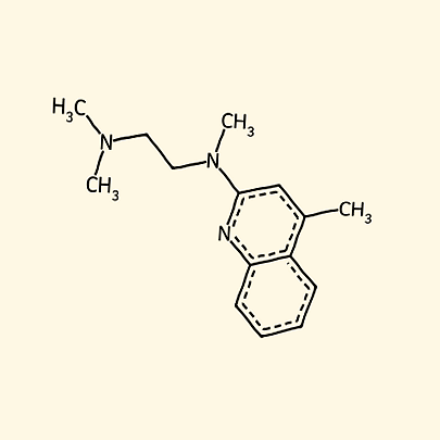 Cc1cc(N(C)CCN(C)C)nc2ccccc12